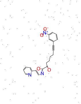 O=C(CCCCC#Cc1cccc([N+](=O)[O-])c1)c1ncc(-c2ccccn2)o1